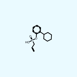 C=CCP(=O)(O)Oc1ccccc1C1CCCCC1